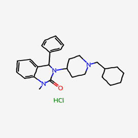 CN1C(=O)N(C2CCN(CC3CCCCC3)CC2)C(c2ccccc2)c2ccccc21.Cl